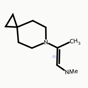 CN/C=C(\C)N1CCC2(CC1)CC2